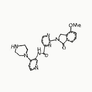 COc1cccc2c1CN(c1nccc(C(=O)Nc3cnccc3N3CCNCC3)n1)C2=O